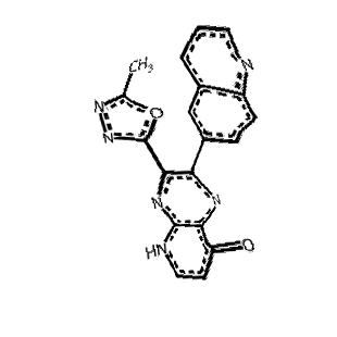 Cc1nnc(-c2nc3[nH]ccc(=O)c3nc2-c2ccc3ncccc3c2)o1